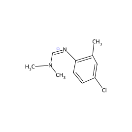 Cc1cc(Cl)ccc1/N=C\N(C)C